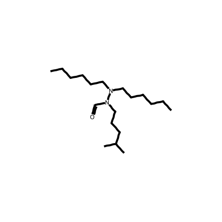 CCCCCCN(CCCCCC)N([C]=O)CCCC(C)C